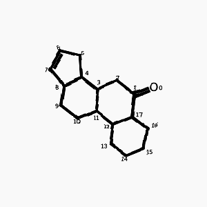 O=C1CC2C3CC=CC3CCC2C2CCCCC12